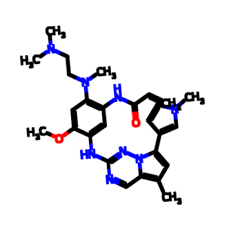 C=CC(=O)Nc1cc(Nc2ncc3c(C)cc(-c4ccn(C)c4)n3n2)c(OC)cc1N(C)CCN(C)C